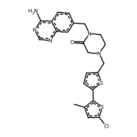 Cc1cc(Cl)sc1-c1ccc(CN2CCN(Cc3ccc4c(N)ncnc4c3)C(=O)C2)s1